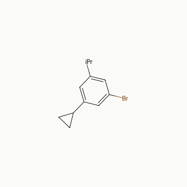 [CH2]C(C)c1cc(Br)cc(C2CC2)c1